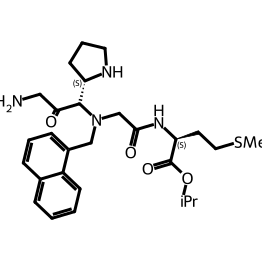 CSCC[C@H](NC(=O)CN(Cc1cccc2ccccc12)C(C(=O)CN)[C@@H]1CCCN1)C(=O)OC(C)C